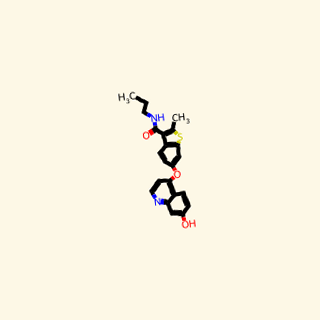 CCCNC(=O)c1c(C)sc2cc(Oc3ccnc4cc(O)ccc34)ccc12